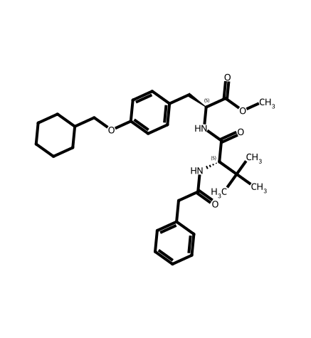 COC(=O)[C@H](Cc1ccc(OCC2CCCCC2)cc1)NC(=O)[C@@H](NC(=O)Cc1ccccc1)C(C)(C)C